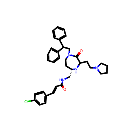 O=C(/C=C/c1ccc(Cl)cc1)NC[C@@H]1CCN(CC(c2ccccc2)c2ccccc2)C(=O)C(CCN2CCCC2)N1